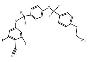 CCCc1ccc(C(F)(F)Oc2ccc(C(F)(F)Oc3cc(F)c(C#N)c(F)c3)cc2)cc1